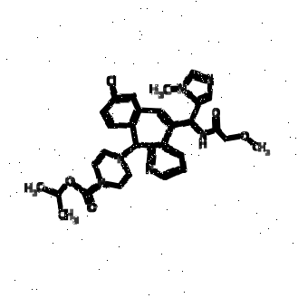 COCC(=O)NC(C1=Cc2cc(Cl)ccc2C(N2CCN(C(=O)OC(C)C)CC2)c2ncccc21)c1cncn1C